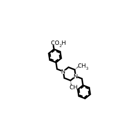 C[C@@H]1CN(Cc2ccc(C(=O)O)cc2)C[C@H](C)N1Cc1ccccc1